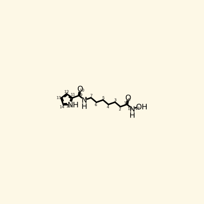 O=C(CCCCCCNC(=O)c1ccc[nH]1)NO